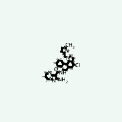 Cn1ccc(Cn2ncc3c(Cl)cc(CCNC(=O)c4c(N)nn5cccnc45)c(-c4ccccc4)c32)n1